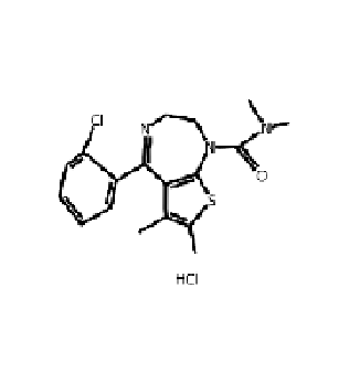 Cc1sc2c(c1C)C(c1ccccc1Cl)=NCCN2C(=O)N(C)C.Cl